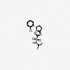 O=S(=O)(NC(F)F)c1nc2n(n1)[C@H](c1ccccc1Cl)CC2